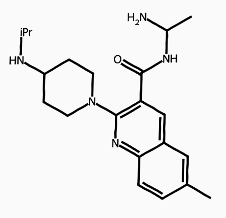 Cc1ccc2nc(N3CCC(NC(C)C)CC3)c(C(=O)NC(C)N)cc2c1